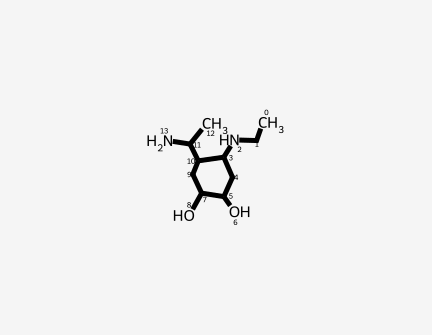 CCNC1CC(O)C(O)CC1C(C)N